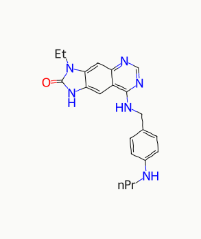 CCCNc1ccc(CNc2ncnc3cc4c(cc23)[nH]c(=O)n4CC)cc1